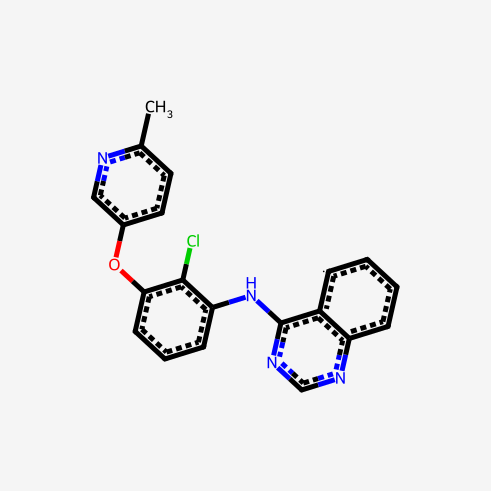 Cc1ccc(Oc2cccc(Nc3ncnc4ccc[c]c34)c2Cl)cn1